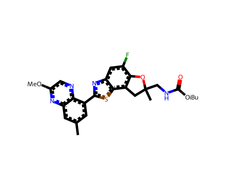 COc1cnc2c(-c3nc4cc(F)c5c(c4s3)CC(C)(CNC(=O)OCC(C)C)O5)cc(C)cc2n1